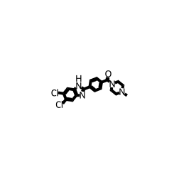 CN1CCN(C(=O)c2ccc(-c3nc4cc(Cl)c(Cl)cc4[nH]3)cc2)CC1